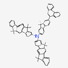 CC1(C)c2cc(-c3cc4ccccc4c4ccccc34)ccc2-c2ccc(N(c3ccc4c(c3)C(C)(C)c3cc5c(cc3-4)C(C)(C)c3ccccc3-5)c3ccc4c(c3)C(C)(C)c3cc5c(cc3-4)C(C)(C)c3ccccc3-5)cc21